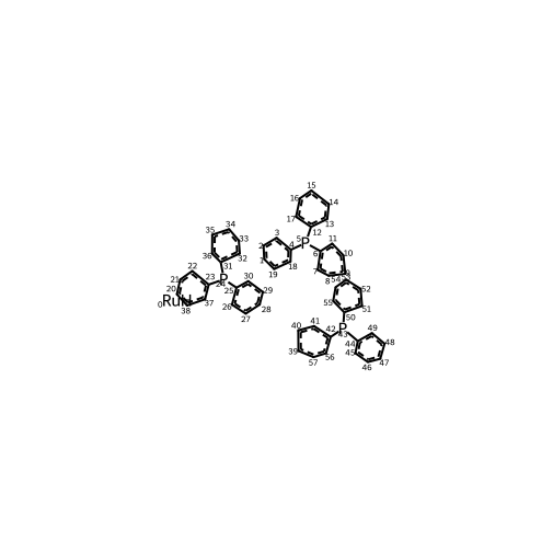 [RuH].c1ccc(P(c2ccccc2)c2ccccc2)cc1.c1ccc(P(c2ccccc2)c2ccccc2)cc1.c1ccc(P(c2ccccc2)c2ccccc2)cc1